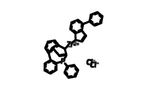 C1=C[CH]([Zr+2][CH]2C3=Cc4c(cccc42)-c2ccccc2P3c2ccccc2)c2cccc(-c3ccccc3)c21.[Cl-].[Cl-]